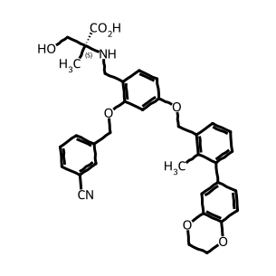 Cc1c(COc2ccc(CN[C@@](C)(CO)C(=O)O)c(OCc3cccc(C#N)c3)c2)cccc1-c1ccc2c(c1)OCCO2